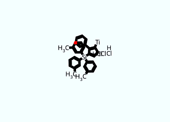 Cc1cccc([Si](C2=CC[C]([Ti])=C2c2ccccc2)(c2cccc(C)c2)c2cccc(C)c2)c1.Cl.Cl.Cl